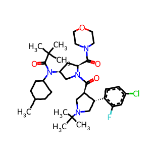 CC1CCC(N(C(=O)C(C)(C)C)[C@H]2C[C@@H](C(=O)N3CCOCC3)N(C(=O)[C@@H]3CN(C(C)(C)C)C[C@H]3c3ccc(Cl)cc3F)C2)CC1